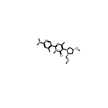 COC[C@@H]1C[C@@H](OC)CN1c1c(C)nc(-c2cnc(N(C)C)cc2C)n(C)c1=O